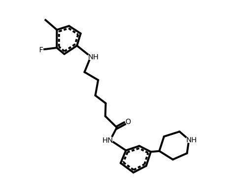 Cc1ccc(NCCCCCC(=O)Nc2cccc(C3CCNCC3)c2)cc1F